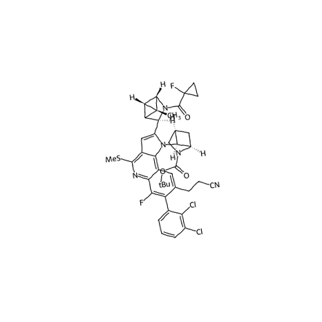 CSc1nc2c(F)c(-c3cccc(Cl)c3Cl)c(CCC#N)cc2c2c1cc([C@H]1C3[C@@H]4[C@H](N1C(=O)C1(F)CC1)[C@]34C)n2[C@H]1[C@@H]2C[C@H]1N(C(=O)OC(C)(C)C)C2